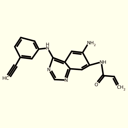 C#Cc1cccc(Nc2ncnc3cc(NC(=O)C=C)c(N)cc23)c1